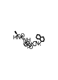 C#CC(C)(C)NC(=O)CNC(=O)CN(C1CCN([C@H](C)c2cccc3ccccc23)CC1)S(C)(=O)=O